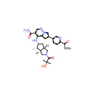 CNC(=O)c1ccc(-c2cc3c(N[C@@H]4C[C@@H]5CN(C(=O)C(C)(C)O)C[C@H]5[C@@H]4C)c(C(N)=O)cnn3c2)cn1